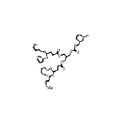 CCCC/C=C\CCOC(CCC(=O)OCC(COC(=O)CCC(OCC/C=C\CCCC)OCC/C=C\CCCC)COC(=O)OCC1CCCN(CC)C1)OCC/C=C\CCCC